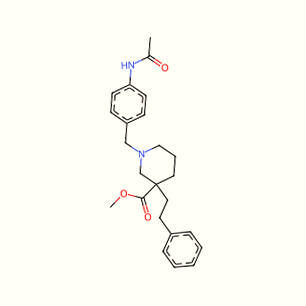 COC(=O)C1(CCc2ccccc2)CCCN(Cc2ccc(NC(C)=O)cc2)C1